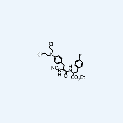 CCOC(=O)C(Cc1ccc(F)cc1)NC(=O)[C@@H](BC#N)Cc1ccc(N(CCCl)CCCl)cc1